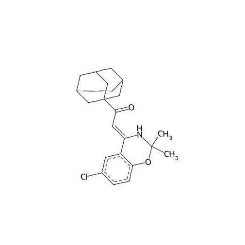 CC1(C)N/C(=C\C(=O)C23CC4CC(CC(C4)C2)C3)c2cc(Cl)ccc2O1